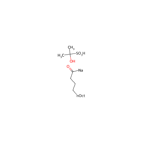 CC(C)(O)S(=O)(=O)O.CCCCCCCCCCC[C](=O)[Na]